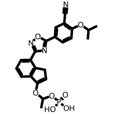 CC(C)Oc1ccc(-c2nc(-c3cccc4c3CC=C4OC(C)OP(=O)(O)O)no2)cc1C#N